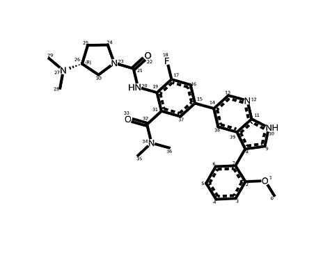 COc1ccccc1-c1c[nH]c2ncc(-c3cc(F)c(NC(=O)N4CC[C@@H](N(C)C)C4)c(C(=O)N(C)C)c3)cc12